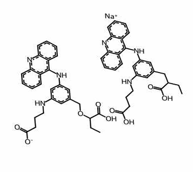 CCC(Cc1cc(NCCCC(=O)O)cc(Nc2c3ccccc3nc3ccccc23)c1)C(=O)O.CCC(OCc1cc(NCCCC(=O)[O-])cc(Nc2c3ccccc3nc3ccccc23)c1)C(=O)O.[Na+]